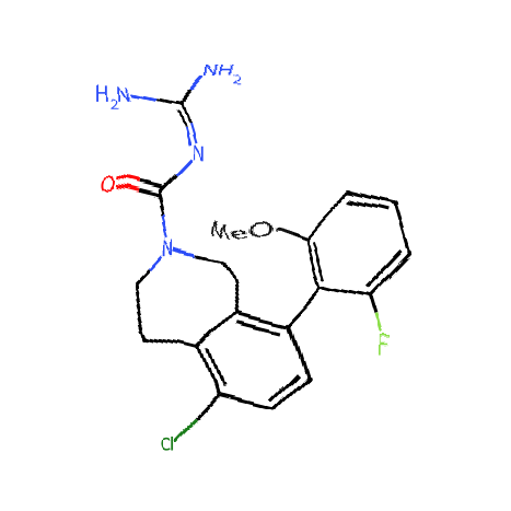 COc1cccc(F)c1-c1ccc(Cl)c2c1CN(C(=O)N=C(N)N)CC2